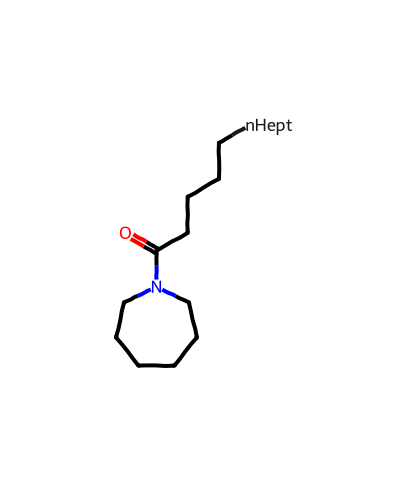 CCCCCCCCCCCC(=O)N1CCCCCC1